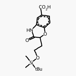 CC(C)(C)[Si](C)(C)OCCC1Oc2ccc(C(=O)O)cc2NC1=O